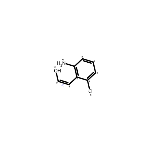 Nc1cccc(Cl)c1/C=C\O